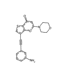 Nc1cccc(C#Cc2csc3c(=O)cc(N4CCOCC4)oc23)c1